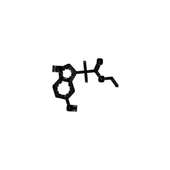 CCOC(=O)C(C)(C)c1c[nH]c2ccc(O)cc12